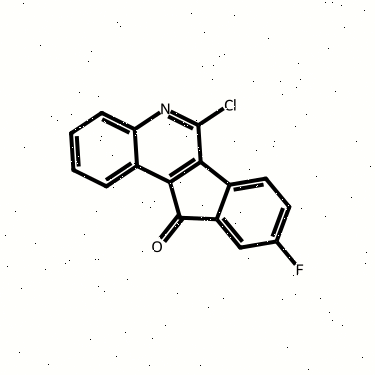 O=C1c2cc(F)ccc2-c2c(Cl)nc3ccccc3c21